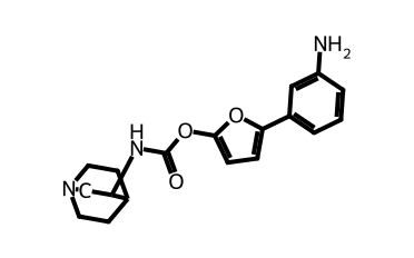 Nc1cccc(-c2ccc(OC(=O)NC3CN4CCC3CC4)o2)c1